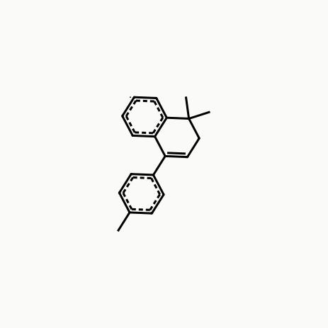 Cc1ccc(C2=CCC(C)(C)c3c[c]ccc32)cc1